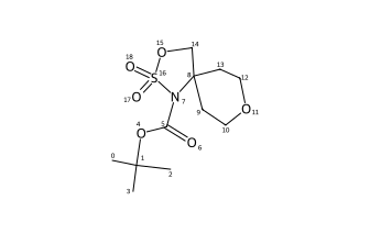 CC(C)(C)OC(=O)N1C2(CCOCC2)COS1(=O)=O